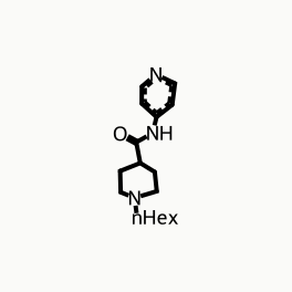 CCCCCCN1CCC(C(=O)Nc2ccncc2)CC1